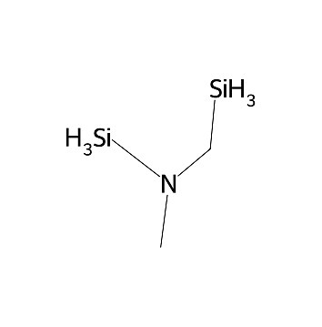 CN([SiH3])C[SiH3]